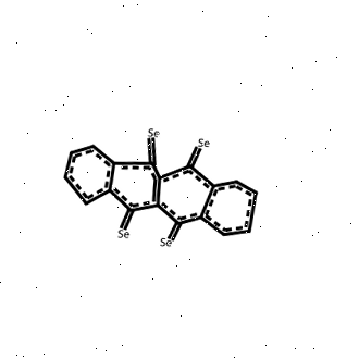 [Se]=c1c2c(=[Se])c3ccccc3c(=[Se])c=2c(=[Se])c2ccccc12